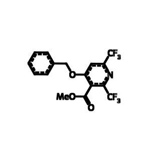 COC(=O)c1c(OCc2ccccc2)cc(C(F)(F)F)nc1C(F)(F)F